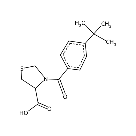 CC(C)(C)c1ccc(C(=O)N2CSCC2C(=O)O)cc1